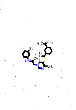 C=C(CN1C=NC(C)=C(SC(=C)C2CCCC(C(=C)C)C2)C1)Nc1cccc(CC)c1